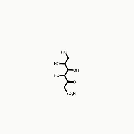 O=C(CS(=O)(=O)O)C(O)C(O)C(O)CO